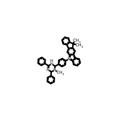 CN1C(c2ccccc2)N=C(c2ccccc2)NC1c1ccc(-n2c3ccccc3c3cc4c(cc32)-c2ccccc2C4(C)C)cc1